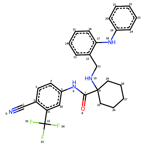 N#Cc1ccc(NC(=O)C2(NCc3ccccc3Nc3ccccc3)CCCCC2)cc1C(F)(F)F